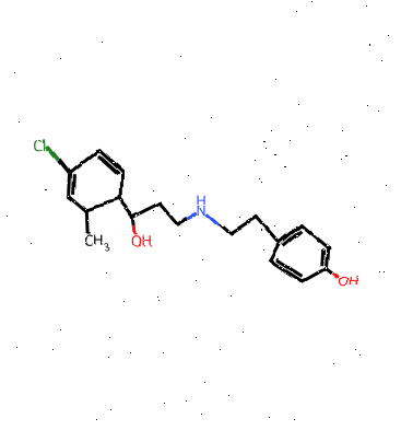 CC1C=C(Cl)C=CC1C(O)CCNCCc1ccc(O)cc1